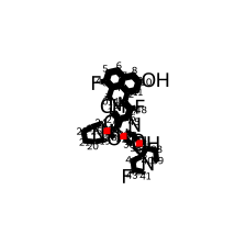 C#Cc1c(F)ccc2cc(O)cc(-c3ncc4c(N5CC6CCC(C5)N6C(=O)OCCO)nc(OC[C@@]56CCCN5C[C@H](F)C6)nc4c3F)c12